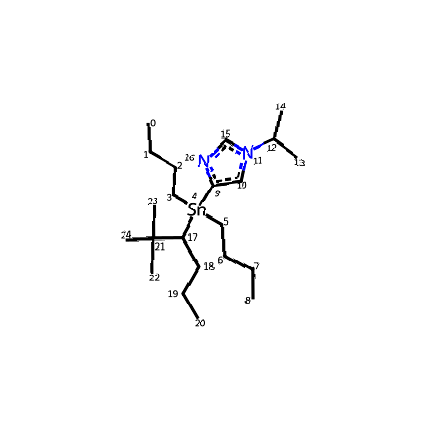 CCC[CH2][Sn]([CH2]CCC)([c]1cn(C(C)C)cn1)[CH](CCC)C(C)(C)C